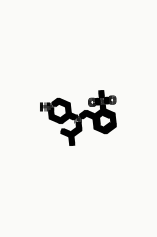 CC(C)CN(Cc1ccccc1S(C)(=O)=O)C1CCNCC1